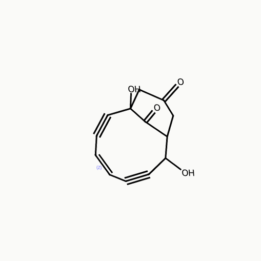 O=C1CC2C(=O)C(O)(C#C/C=C\C#CC2O)C1